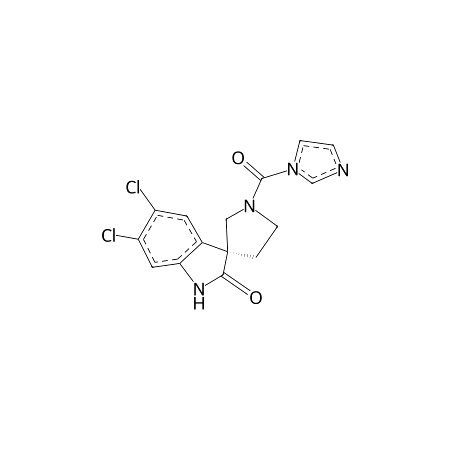 O=C(N1CC[C@]2(C1)C(=O)Nc1cc(Cl)c(Cl)cc12)n1ccnc1